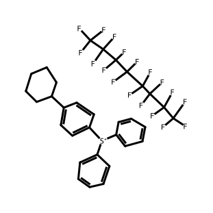 FC(F)(F)C(F)(F)C(F)(F)C(F)(F)C(F)(F)C(F)(F)C(F)(F)C(F)(F)F.c1ccc([S+](c2ccccc2)c2ccc(C3CCCCC3)cc2)cc1